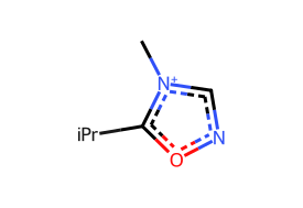 CC(C)c1onc[n+]1C